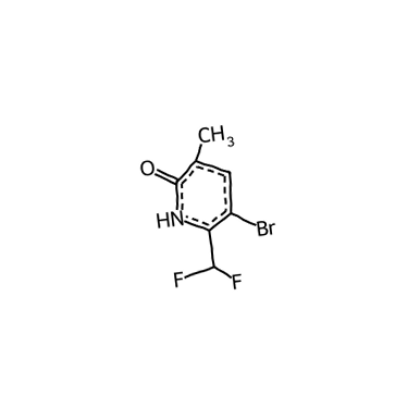 Cc1cc(Br)c(C(F)F)[nH]c1=O